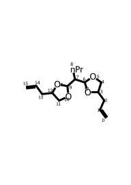 C=CCC1COC(C(CCC)C2OCC(CC=C)O2)O1